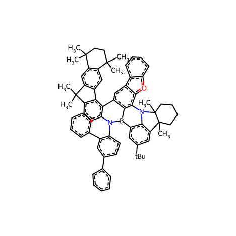 CC(C)(C)c1cc2c3c(c1)C1(C)CCCCC1(C)N3c1c3c(cc4c1oc1ccccc14)-c1c(ccc4c1-c1cc5c(cc1C4(C)C)C(C)(C)CCC5(C)C)N(c1ccc(-c4ccccc4)cc1-c1ccccc1)B23